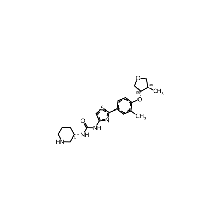 Cc1cc(-c2nc(NC(=O)N[C@H]3CCCNC3)cs2)ccc1O[C@@H]1COC[C@H]1C